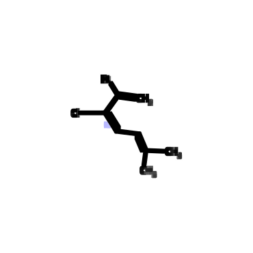 C=C(CC)/C(Cl)=C\C=C(C)C